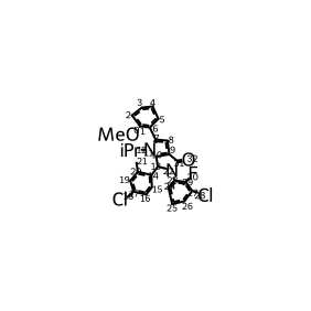 COc1ccccc1-c1cc2c(n1C(C)C)C(c1ccc(Cl)cc1C)N(c1cccc(Cl)c1F)C2=O